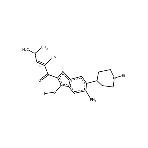 CCN1CCC(c2cc3cc(C(=O)/C(C#N)=C/N(C)C)n(SI)c3cc2P)CC1